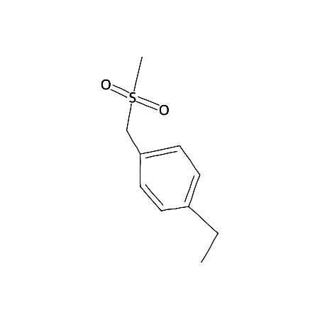 CCc1ccc(CS(C)(=O)=O)cc1